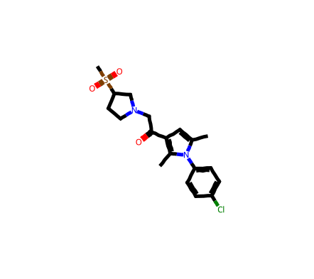 Cc1cc(C(=O)CN2CCC(S(C)(=O)=O)C2)c(C)n1-c1ccc(Cl)cc1